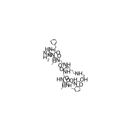 CC(C)C[C@H](NC(=O)CNC(=O)[C@H](CCCCN)NC(=O)CNC(=O)[C@H](CC(C)C)NC(=O)[C@H](Cc1ccccc1)NC(=O)CN)C(=O)N[C@@H](Cc1ccccc1)C(=O)NCC(=O)O